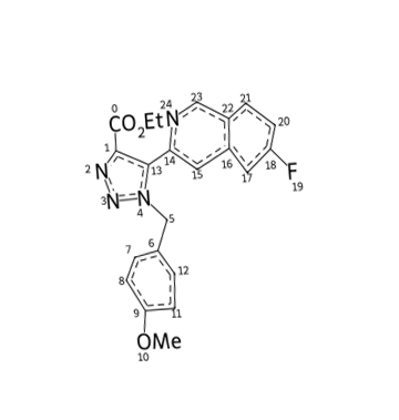 CCOC(=O)c1nnn(Cc2ccc(OC)cc2)c1-c1cc2cc(F)ccc2cn1